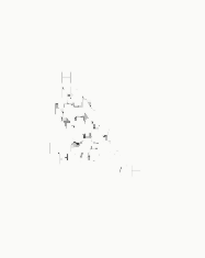 CCOC[C@H]1O[C@@H](n2cnc3c(N)ncnc32)[C@H](OC)[C@@H]1OC